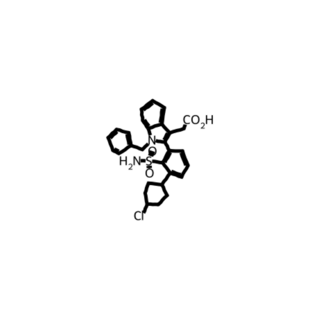 NS(=O)(=O)c1c(-c2c(CC(=O)O)c3ccccc3n2Cc2ccccc2)cccc1C1CCC(Cl)CC1